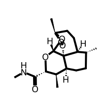 CNC(=O)[C@@H]1O[C@@H]2O[C@@]3(C)CC[C@H]4[C@H](C)CC[C@@H]([C@H]1C)[C@@]24OO3